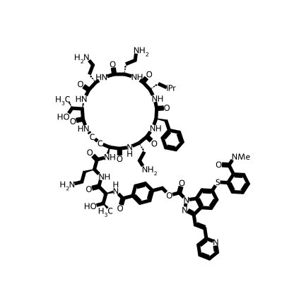 CNC(=O)c1ccccc1Sc1ccc2c(/C=C/c3ccccn3)nn(C(=O)OCc3ccc(C(=O)N[C@H](C(=O)N[C@@H](CCN)C(=O)N[C@H]4CCNC(=O)[C@H]([C@@H](C)O)NC(=O)[C@H](CCN)NC(=O)[C@H](CCN)NC(=O)[C@H](CC(C)C)NC(=O)[C@@H](Cc5ccccc5)NC(=O)[C@H](CCN)NC4=O)[C@@H](C)O)cc3)c2c1